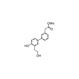 COC(=O)Cc1cccc(-c2ccc(O)c(CCO)c2)c1